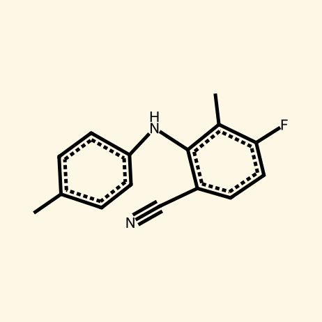 Cc1ccc(Nc2c(C#N)ccc(F)c2C)cc1